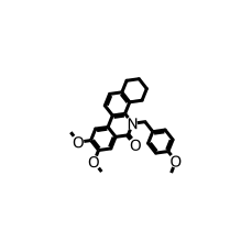 COc1ccc(Cn2c(=O)c3cc(OC)c(OC)cc3c3ccc4c(c32)CCCC4)cc1